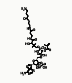 C=C(C)C(=O)O.CC(C)(COP(=O)(O)OP(=O)(O)OC[C@H]1O[C@@H](n2cnc3c(N)ncnc32)[C@H](O)[C@@H]1OP(=O)(O)O)C(O)C(=O)NCCC(=O)NCCSC(=O)CCCN